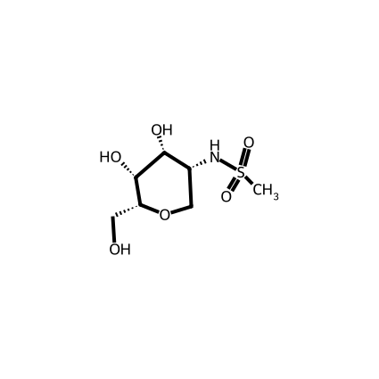 CS(=O)(=O)N[C@@H]1CO[C@H](CO)[C@H](O)[C@@H]1O